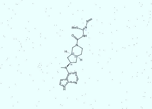 C=N/N=C(/NC(=O)N1CC[C@H]2C[C@@H](N(C)c3ncnc4[nH]ccc34)C[C@H]2C1)SC